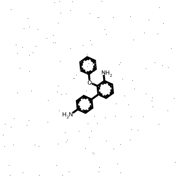 Nc1ccc(-c2cccc(N)c2Oc2ccccc2)cc1